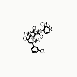 Cc1cnccc1NC(=O)c1c(=O)[nH]n2c(=O)cc(-c3cccc(Cl)c3)[nH]c12